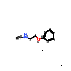 C[CH]CNCCOc1ccccc1